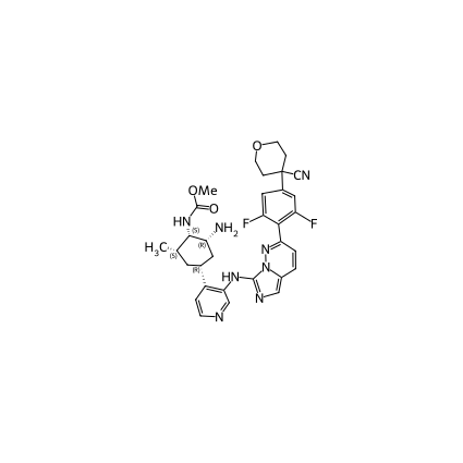 COC(=O)N[C@@H]1[C@H](N)C[C@H](c2ccncc2Nc2ncc3ccc(-c4c(F)cc(C5(C#N)CCOCC5)cc4F)nn23)C[C@@H]1C